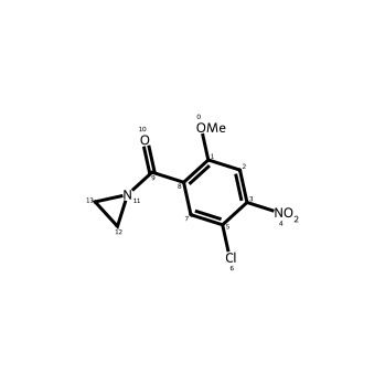 COc1cc([N+](=O)[O-])c(Cl)cc1C(=O)N1CC1